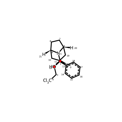 O=C(OCC(Cl)(Cl)Cl)N1[C@@H]2CC[C@H]1C[C@@](O)(c1ccccc1)C2